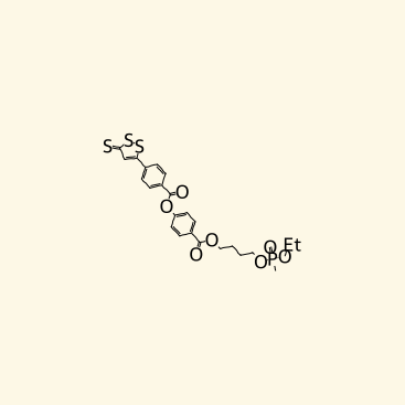 CCOP(C)(=O)OCCCCOC(=O)c1ccc(OC(=O)c2ccc(-c3cc(=S)ss3)cc2)cc1